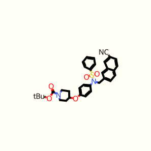 CC(C)(C)OC(=O)N1CCC(Oc2ccc(N(Cc3ccc4ccc(C#N)cc4c3)S(=O)(=O)c3ccccc3)cc2)CC1